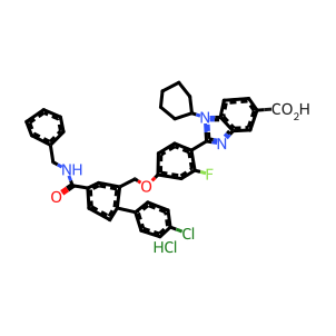 Cl.O=C(O)c1ccc2c(c1)nc(-c1ccc(OCc3cc(C(=O)NCc4ccccc4)ccc3-c3ccc(Cl)cc3)cc1F)n2C1CCCCC1